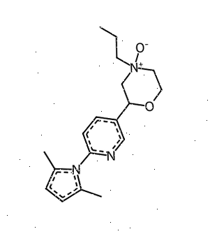 CCC[N+]1([O-])CCOC(c2ccc(-n3c(C)ccc3C)nc2)C1